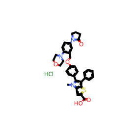 Cl.Cn1c(-c2ccc(OCc3cc(N4CCCC4=O)ccc3N3CCOCC3)cc2)c(-c2ccccc2)c2sc(C(=O)O)cc21